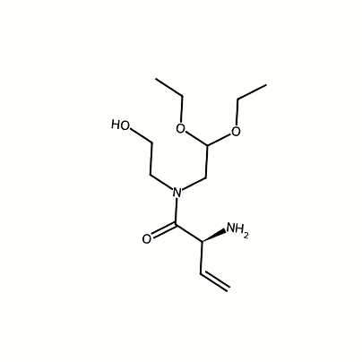 C=C[C@H](N)C(=O)N(CCO)CC(OCC)OCC